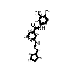 O=C(Nc1ccc(F)c(Cl)c1)c1ccnc(NSCC2CCCC2)c1